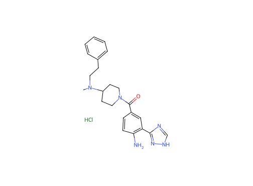 CN(CCc1ccccc1)C1CCN(C(=O)c2ccc(N)c(-c3nc[nH]n3)c2)CC1.Cl